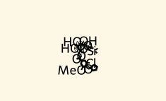 COc1cc(C(=O)OC[C@H]2O[C@@H](OCC[Si](C)(C)C)[C@H](O)[C@@H](O)[C@@H]2O)cc(Cl)c1Oc1ccccc1